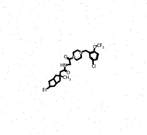 CCC1CC2CC(C)(CC(=O)NCC(=O)N3CCN(Cc4cc(Cl)ccc4OC(F)(F)F)CC3)CC2C1